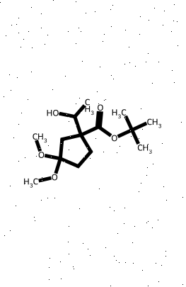 COC1(OC)CCC(C(=O)OC(C)(C)C)(C(C)O)C1